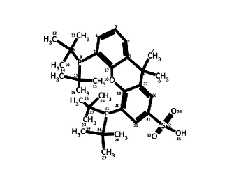 CC1(C)c2cccc(P(C(C)(C)C)C(C)(C)C)c2Oc2c(P(C(C)(C)C)C(C)(C)C)cc(S(=O)(=O)O)cc21